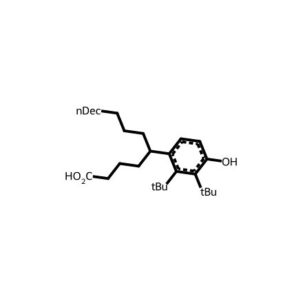 CCCCCCCCCCCCCC(CCCC(=O)O)c1ccc(O)c(C(C)(C)C)c1C(C)(C)C